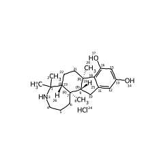 CC1(C)NCCC[C@]2(C)[C@H]3Cc4cc(O)cc(O)c4[C@]3(C)CC[C@@H]12.Cl